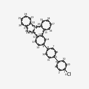 Clc1ccc(-c2ccc(-c3ccc4c(c3)c3ccccc3n3c5ccccc5nc43)cc2)cc1